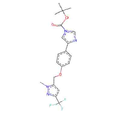 Cn1nc(C(F)(F)F)cc1COc1ccc(-c2cn(C(=O)OC(C)(C)C)cn2)cc1